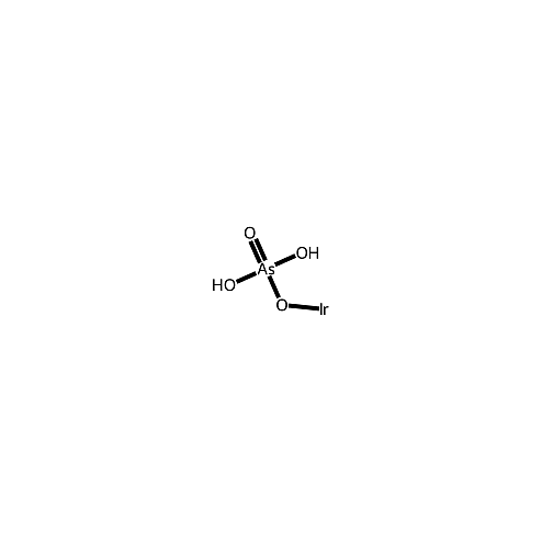 O=[As](O)(O)[O][Ir]